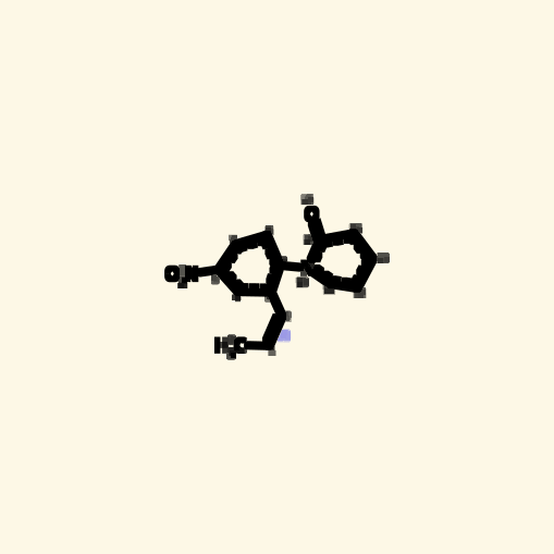 C/C=C\c1cc([N+](=O)[O-])ccc1-n1ccccc1=O